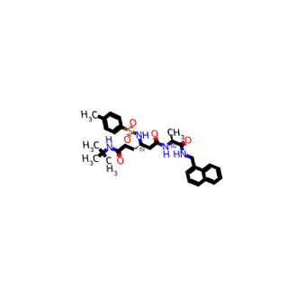 Cc1ccc(S(=O)(=O)N[C@@H](CCC(=O)NC(C)(C)C)CC(=O)N[C@@H](C)C(=O)NCc2cccc3ccccc23)cc1